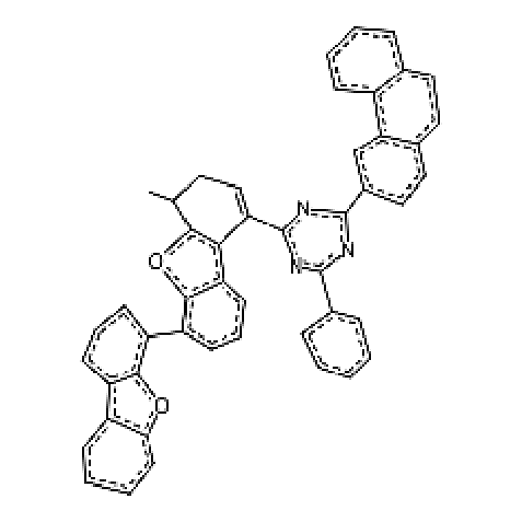 CC1CC=C(c2nc(-c3ccccc3)nc(-c3ccc4ccc5ccccc5c4c3)n2)c2c1oc1c(-c3cccc4c3oc3ccccc34)cccc21